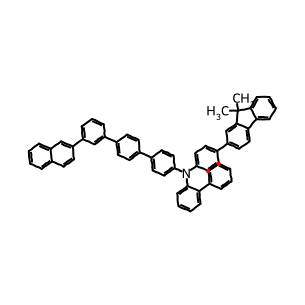 CC1(C)c2ccccc2-c2ccc(-c3ccc(N(c4ccc(-c5ccc(-c6cccc(-c7ccc8ccccc8c7)c6)cc5)cc4)c4ccccc4-c4ccccc4)cc3)cc21